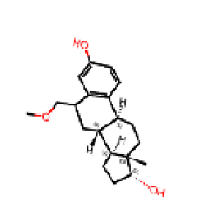 COCC1C[C@@H]2[C@H](CC[C@]3(C)[C@H](O)CC[C@@H]23)c2ccc(O)cc21